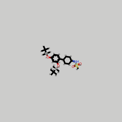 CC(C)(C)[Si](C)(C)Oc1ccc(C2CCC(NS(C)(=O)=O)CC2)c(O[Si](C)(C)C(C)(C)C)c1